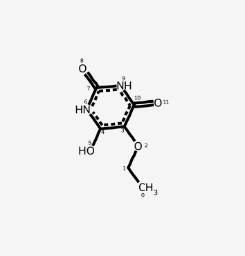 CCOc1c(O)[nH]c(=O)[nH]c1=O